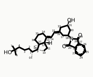 C[C@H](CCCC(C)(C)O)[C@H]1CC[C@H]2/C(=C/C=C3\CC(N4C(=O)c5ccccc5C4=O)C[C@H](O)C3)CCC[C@]12C